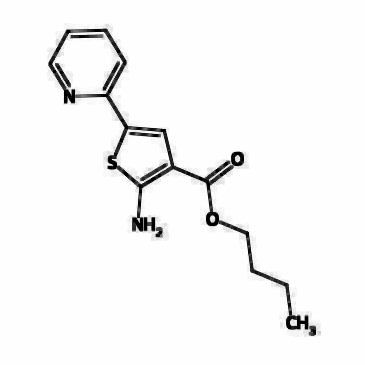 CCCCOC(=O)c1cc(-c2ccccn2)sc1N